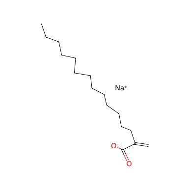 C=C(CCCCCCCCCCCCC)C(=O)[O-].[Na+]